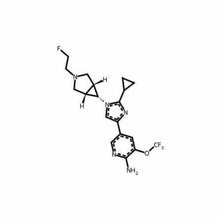 Nc1ncc(-c2cn([C@@H]3[C@@H]4CN(CCF)C[C@@H]43)c(C3CC3)n2)cc1OC(F)(F)F